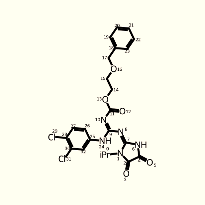 CC(C)N1C(=O)C(=O)NC1=NC(=NC(=O)OCCOCc1ccccc1)Nc1ccc(Cl)c(Cl)c1